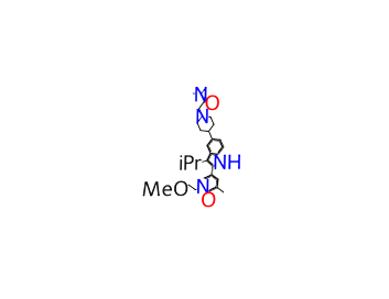 COCCn1cc(-c2[nH]c3ccc(C4CCN(CC(=O)N(C)C)CC4)cc3c2C(C)C)cc(C)c1=O